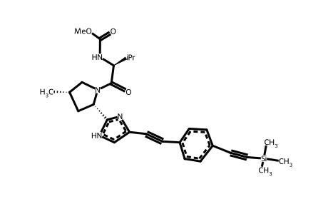 COC(=O)N[C@H](C(=O)N1C[C@@H](C)C[C@H]1c1nc(C#Cc2ccc(C#C[Si](C)(C)C)cc2)c[nH]1)C(C)C